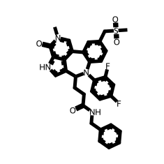 Cn1cc2c3c(c[nH]c3c1=O)C(CCC(=O)NCc1ccccc1)N(c1ccc(F)cc1F)c1ccc(CS(C)(=O)=O)cc1-2